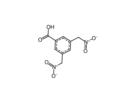 O=C(O)c1cc(C[N+](=O)[O-])cc(C[N+](=O)[O-])c1